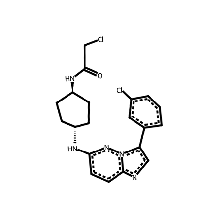 O=C(CCl)N[C@H]1CC[C@H](Nc2ccc3ncc(-c4cccc(Cl)c4)n3n2)CC1